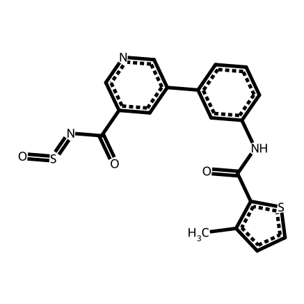 Cc1ccsc1C(=O)Nc1cccc(-c2cncc(C(=O)N=S=O)c2)c1